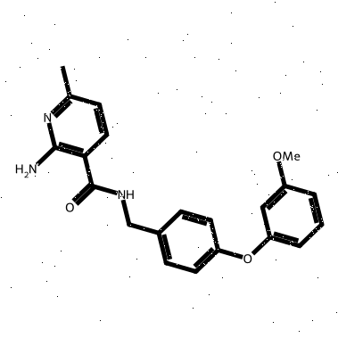 COc1cccc(Oc2ccc(CNC(=O)c3ccc(C)nc3N)cc2)c1